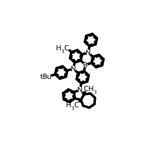 Cc1cc2c3c(c1)N(c1ccc(C(C)(C)C)cc1)c1cc(N4c5ccccc5C5(C)CCCCCC45C)ccc1B3c1ccccc1N2c1ccccc1